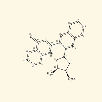 CO[C@@H]1CN(c2nc3ccccc3cc2-c2cc(=O)c3cnccc3[nH]2)C[C@@H]1C